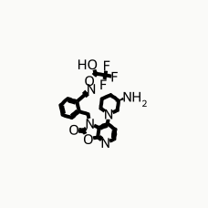 N#Cc1ccccc1Cn1c(=O)oc2nccc(N3CCC[C@@H](N)C3)c21.O=C(O)C(F)(F)F